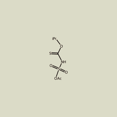 CC(=O)OS(=O)(=O)NC(=S)OC(C)C